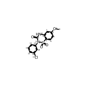 COc1ccc2c(c1)NC(=O)N(c1cccc(Cl)c1)S2(=O)=O